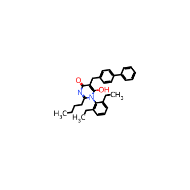 CCCCc1nc(=O)c(Cc2ccc(-c3ccccc3)cc2)c(O)n1-c1c(CC)cccc1CC